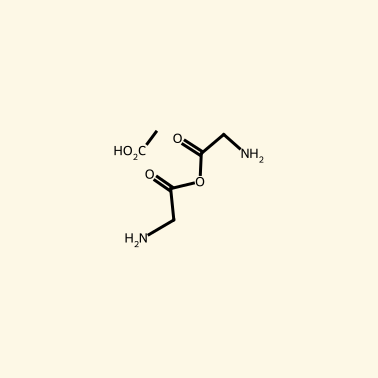 CC(=O)O.NCC(=O)OC(=O)CN